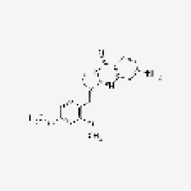 COc1ccc(C=C2CCn3c2nc2cc(N)ccc2c3=O)c(OC)c1